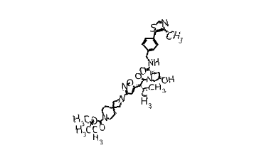 Cc1ncsc1-c1ccc(CNC(=O)[C@@H]2C[C@@H](O)CN2C(=O)[C@@H](c2cc(N3CC4(CCN(C(=O)OC(C)(C)C)CC4)C3)no2)C(C)C)cc1